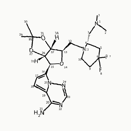 CN(C)C[C@@H]1CC(F)(F)CCN1C[C@H]1O[C@@H](c2ccc3c(N)ncnn23)[C@@H]2OC(C)(C)O[C@@H]21